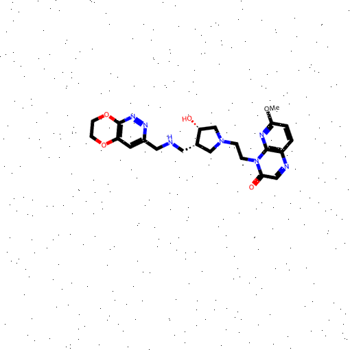 COc1ccc2ncc(=O)n(CCN3C[C@H](CNCc4cc5c(nn4)OCCO5)[C@H](O)C3)c2n1